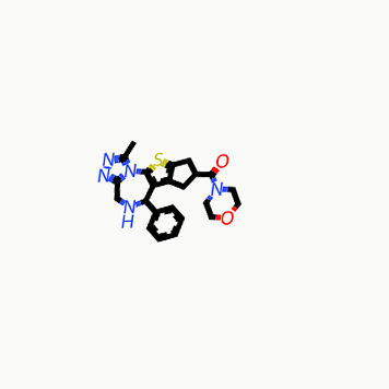 Cc1nnc2n1-c1sc3c(c1C(c1ccccc1)NC2)CC(C(=O)N1CCOCC1)C3